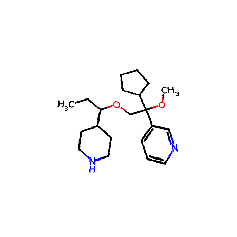 CCC(OCC(OC)(c1cccnc1)C1CCCC1)C1CCNCC1